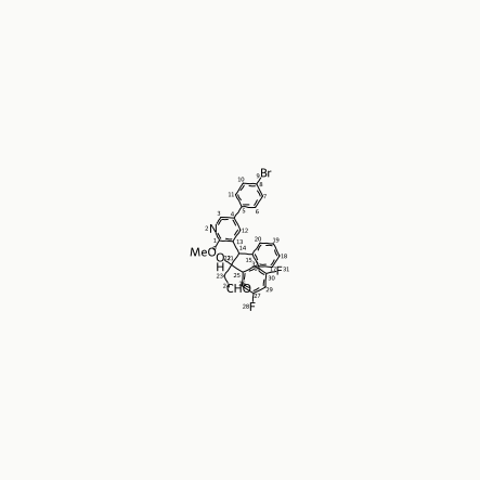 COc1ncc(-c2ccc(Br)cc2)cc1C(c1ccccc1)C(O)(CC=O)c1cc(F)cc(F)c1